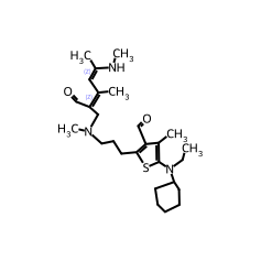 CCN(c1sc(CCCN(C)C/C(C=O)=C(C)/C=C(/C)NC)c(C=O)c1C)C1CCCCC1